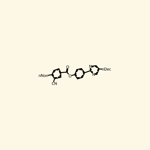 CCCCCCCCCCc1cnc(-c2ccc(OC(=O)c3ccc(CCCCCCCCC)c(C#N)c3)cc2)nc1